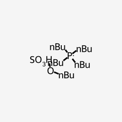 CCCCOS(=O)(=O)O.CCCC[P](CCCC)(CCCC)CCCC